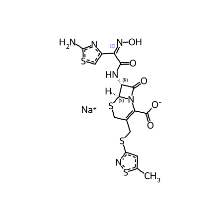 Cc1cc(SCC2=C(C(=O)[O-])N3C(=O)[C@@H](NC(=O)/C(=N\O)c4csc(N)n4)[C@@H]3SC2)ns1.[Na+]